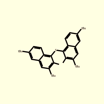 Cc1c(C(C)(C)C)cc2cc(C(C)(C)C)ccc2c1Sc1c(C)c(C(C)(C)C)cc2cc(C(C)(C)C)ccc12